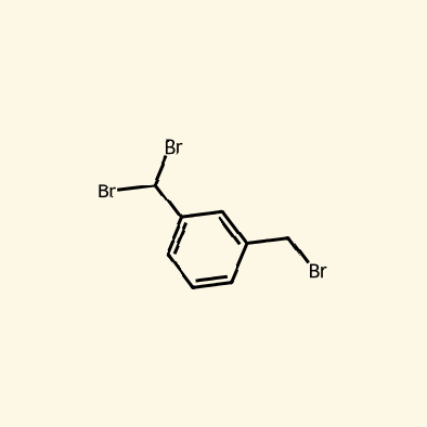 BrCc1cccc(C(Br)Br)c1